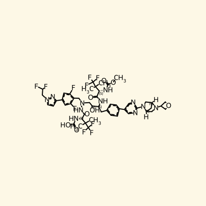 COC(=O)N[C@H](C(=O)N[C@@H](Cc1ccc(-c2cnc(N3C[C@H]4C[C@@H]3CN4C3COC3)nc2)cc1)[C@@H](O)CN(Cc1c(F)cc(-c2ccn(CC(F)F)n2)cc1F)NC(=O)[C@@H](NC(=O)O)C(C)(C)C(F)(F)F)C(C)(C)C(F)(F)F